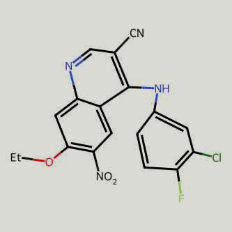 CCOc1cc2ncc(C#N)c(Nc3ccc(F)c(Cl)c3)c2cc1[N+](=O)[O-]